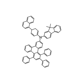 CC1(C)c2ccccc2-c2ccc(N(C3=CCC(c4cccc5ccccc45)C=C3)c3ccc4c(c3)c3ccccc3c3c(-c5ccccc5)cc(-c5ccccc5)c(-c5ccccc5)c43)cc21